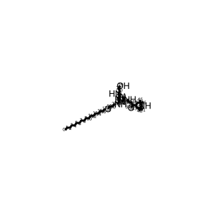 CCCCCCCCCCCCCCCCCCOCCCNc1nc(NCCO)nc(NCCC(OC)C2CC(C)(C)NC(C)(C)C2)n1